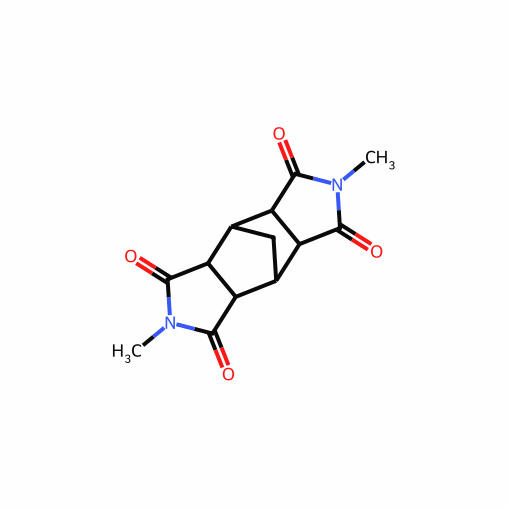 CN1C(=O)C2C3CC(C2C1=O)C1C(=O)N(C)C(=O)C31